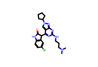 CN(C)CCCNc1nc(C2C(=O)Nc3ccc(Br)cc32)c2cn(C3CCCC3)nc2n1